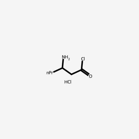 CCCC(N)CC(=O)Cl.Cl